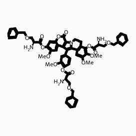 COc1cc(-c2c3n(c4c(=O)oc5cc(OC(=O)[C@@H](N)COCc6ccccc6)c(OC)cc5c24)CCc2c-3cc(OC)c(OC)c2OC(=O)[C@@H](N)COCc2ccccc2)ccc1OC(=O)[C@@H](N)COCc1ccccc1